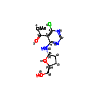 COC(=O)c1c(Cl)ncnc1N[C@@H]1CC[C@@H](CO)O1